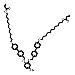 C=CC(=O)OCCCCCCCCCCCOc1ccc(-c2ccc(COc3ccc(C#N)cc3OCc3ccc(-c4ccc(OCCCCCCCCCCCOC(=O)C=C)cc4)cc3)cc2)cc1